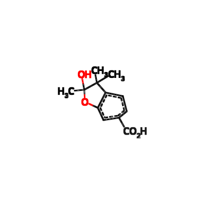 CC1(O)Oc2cc(C(=O)O)ccc2C1(C)C